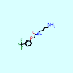 NCCCCNC(=O)COc1cccc(C(F)(F)F)c1